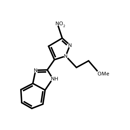 COCCn1nc([N+](=O)[O-])cc1-c1nc2ccccc2[nH]1